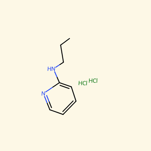 CCCNc1ccccn1.Cl.Cl